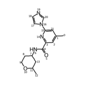 Cc1cc(C(=O)NC2CCOC(C)C2)nc(-n2ccnc2)c1